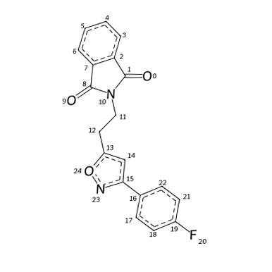 O=C1c2ccccc2C(=O)N1CCc1cc(-c2ccc(F)cc2)no1